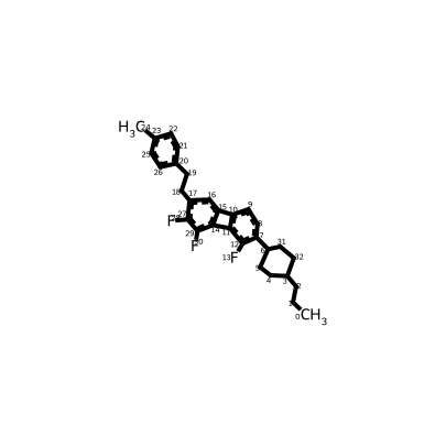 CCCC1CCC(c2ccc3c(c2F)-c2c-3cc(CCc3ccc(C)cc3)c(F)c2F)CC1